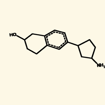 NC1CCC(c2ccc3c(c2)CCC(O)C3)C1